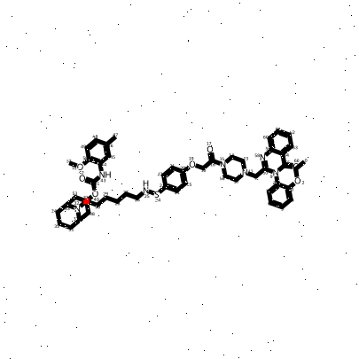 CCOc1ccccc1-n1c(CN2CCN(C(=O)COc3ccc(SNCCCCCCN4C5CCCC4CC(OC(=O)Nc4cc(C)ccc4OC)C5)cc3)CC2)nc2ccccc2c1=O